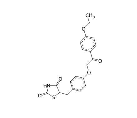 CCOc1ccc(C(=O)COc2ccc(CC3SC(=O)NC3=O)cc2)cc1